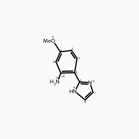 COc1ccc(-c2ncc[nH]2)c(N)c1